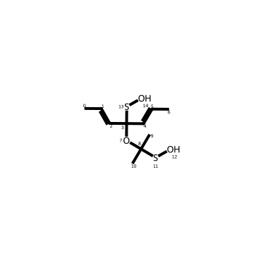 CC=CC(C=CC)(OC(C)(C)SO)SO